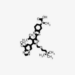 COc1cc(-c2c(C(C)C)c(-c3nc4c(s3)CC(N(C)C(=O)O)CC4)nn2COCC[Si](C)(C)C)cn2ncnc12